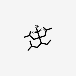 CCC(CC(C)C)C(CC(C)C)(CC(C)C)C(O)(O)O